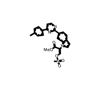 COC(=O)C(=COS(C)(=O)=O)n1ccc2ccc(-c3nccc(-c4ccc(C)cc4)n3)cc21